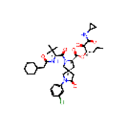 CCC[C@H](OC(=O)[C@@H]1C[C@]2(CC(=O)N(c3cccc(Cl)c3)C2)CN1C(=O)[C@@H](NC(=O)CC1CCCCC1)C(C)(C)C)C(=O)C(=O)NC1CC1